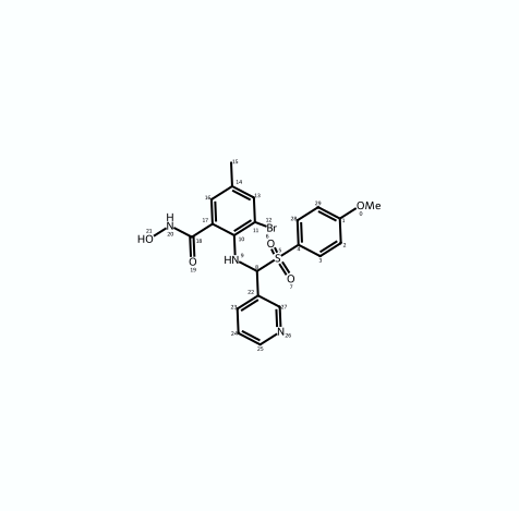 COc1ccc(S(=O)(=O)C(Nc2c(Br)cc(C)cc2C(=O)NO)c2cccnc2)cc1